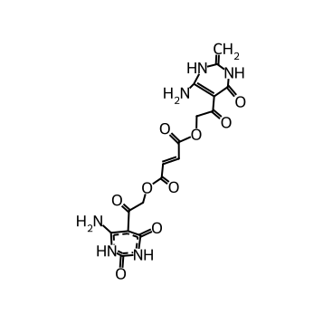 C=C1NC(=O)C(C(=O)COC(=O)/C=C/C(=O)OCC(=O)c2c(N)[nH]c(=O)[nH]c2=O)=C(N)N1